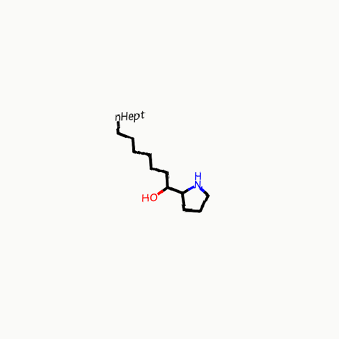 CCCCCCCCCCCCCC(O)C1CCCN1